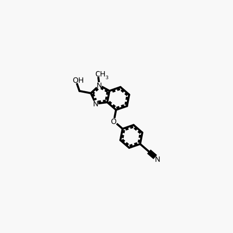 Cn1c(CO)nc2c(Oc3ccc(C#N)cc3)cccc21